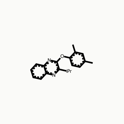 Cc1ccc(Oc2nc3ccccc3nc2C(C)C)c(C)c1